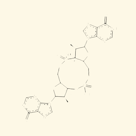 O=c1[nH]cnc2c1ncn2C1OC2COP(=O)(O)[C@@H]3C(COP(=O)(O)O[C@H]2[C@H]1F)OC(n1cnc2c(=O)[nH]cnc21)[C@@H]3F